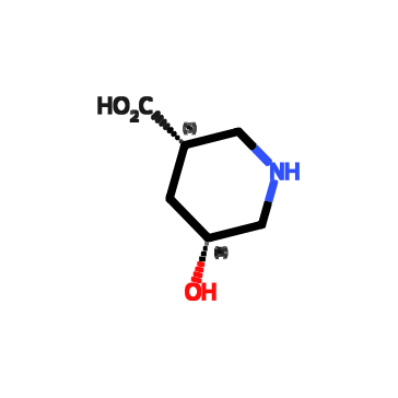 O=C(O)[C@@H]1CNC[C@H](O)C1